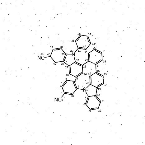 N#Cc1cccc(-n2c3ccccc3c3ccc(-c4ccccc4-c4cccc5c6c(n(-c7ccccc7)c45)C=CC(C#N)C6)cc32)c1